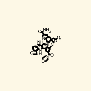 COCCC1(C(N)=O)C=CC2=NCC(C(N)=O)=CC2=C1.Cc1cc(C(=O)N2CCOCC2)cc2c(Nc3cccc4c3CCO4)c(C(N)=O)cnc12